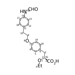 CCO[C@@H](Cc1ccc(OCCc2ccc(NC=O)cc2)cc1)C(=O)O